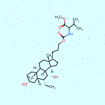 CC[C@H]1[C@@H](O)[C@@H]2[C@H](CC[C@]3(C)[C@@H](CCCOC(=O)NC(C(=O)OC)C(C)C)CC[C@@H]23)[C@@]2(C)CC[C@@H](O)C[C@@H]12